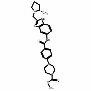 C[C@H]1CCCN1Cc1nc2cc(NC(=O)c3ccc(N4CCN(C(=O)OC(C)(C)C)CC4)cc3)ccc2[nH]1